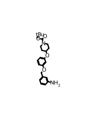 CC(C)(C)OC(=O)N1CCC(Oc2cccc(OCc3cccc(N)c3)c2)CC1